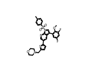 COc1c(F)cc(F)cc1-c1cn(S(=O)(=O)c2ccc(C)cc2)c2ncc(-c3ccc(CN4CCOCC4)s3)cc12